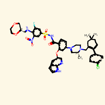 C[C@@H]1CN(c2ccc(C(=O)NS(=O)(=O)c3cc(F)c(NC[C@H]4COCCO4)c([N+](=O)[O-])c3)c(Oc3cnc4[nH]ccc4c3)c2)CCN1CC1=C(c2ccc(Cl)cc2)CCC(C)(C)C1